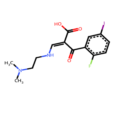 CN(C)CCN/C=C(/C(=O)O)C(=O)c1cc(I)ccc1F